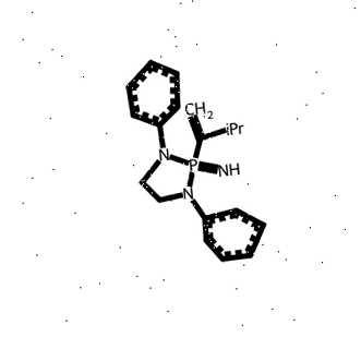 C=C(C(C)C)P1(=N)N(c2ccccc2)CCN1c1ccccc1